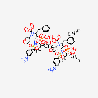 CC(C)CN(CC(OP(=O)(O)O)C(Cc1ccccc1)N(C(=O)[O-])C1CCOC1)S(=O)(=O)c1ccc(N)cc1.CC(C)CN(C[C@@H](OP(=O)(O)O)[C@H](Cc1ccccc1)N(C(=O)[O-])[C@H]1CCOC1)S(=O)(=O)c1ccc(N)cc1.[Ca+2]